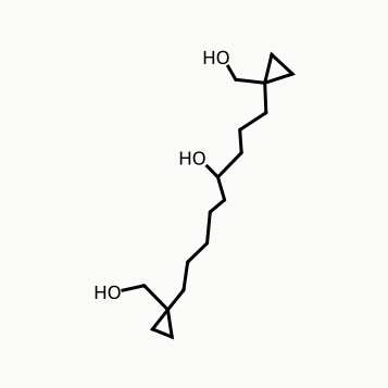 OCC1(CCCCCC(O)CCCC2(CO)CC2)CC1